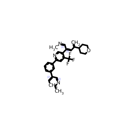 C=C(/C=C(\C=N/C)c1cnc(-c2cccc(C(/C=N\CC)=C/C)c2)cc1C(F)(F)F)C1CCOCC1